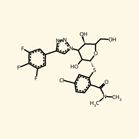 CN(C)C(=O)c1ccc(Cl)cc1S[C@H]1OC(CO)[C@H](O)C(n2cc(-c3cc(F)c(F)c(F)c3)nn2)C1O